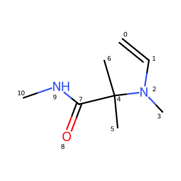 C=CN(C)C(C)(C)C(=O)NC